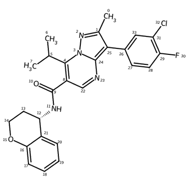 Cc1nn2c(C(C)C)c(C(=O)N[C@H]3CCOc4ccccc43)cnc2c1-c1ccc(F)c(Cl)c1